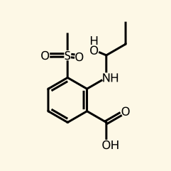 CCC(O)Nc1c(C(=O)O)cccc1S(C)(=O)=O